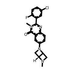 CN1CC2[C@H]1CN2c1ccc2nc(-c3cc(Cl)ccc3F)n(C)c(=O)c2c1